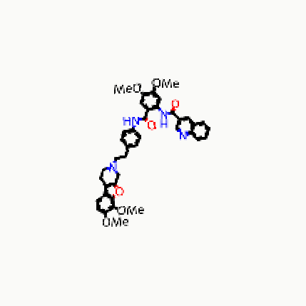 COc1cc(NC(=O)c2cnc3ccccc3c2)c(C(=O)Nc2ccc(CCN3CCc4c(oc5c(OC)c(OC)ccc45)C3)cc2)cc1OC